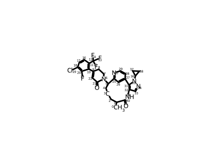 CC1CCCC(N2CCC(c3c(C(F)(F)F)ccc(Cl)c3F)=CC2=O)c2cc(ccn2)-c2c(cnn2C2CC2)NC1=O